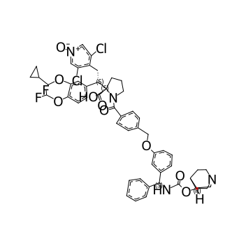 O=C(N[C@@H](c1ccccc1)c1cccc(OCc2ccc(C(=O)N3CCC[C@@]3(C(=O)O)[C@@H](Cc3c(Cl)c[n+]([O-])cc3Cl)c3ccc(OC(F)F)c(OCC4CC4)c3)cc2)c1)O[C@H]1CN2CCC1CC2